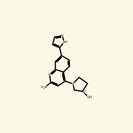 Nc1cc(N2CC[C@@H](O)C2)c2ccc(-c3ccn[nH]3)cc2n1